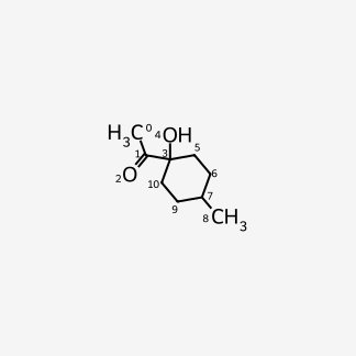 CC(=O)C1(O)CCC(C)CC1